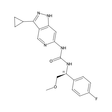 COC[C@@H](NC(=O)Nc1cc2[nH]nc(C3CC3)c2cn1)c1ccc(F)cc1